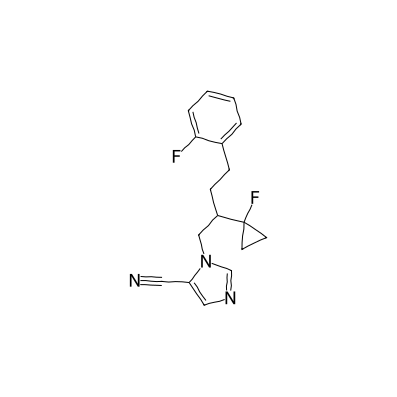 N#Cc1cncn1CC(CCc1ccccc1F)C1(F)CC1